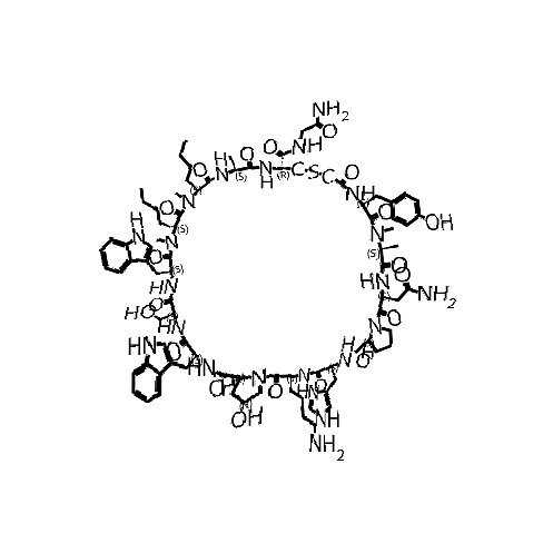 CCCC[C@H]1C(=O)N(C)[C@@H](CCCC)C(=O)N[C@@H](C)C(=O)N[C@H](C(=O)NCC(N)=O)CSCC(=O)N[C@@H](Cc2ccc(O)cc2)C(=O)N(C)[C@@H](C)C(=O)N[C@@H](CC(N)=O)C(=O)N2CCC[C@H]2C(=O)N[C@@H](Cc2c[nH]cn2)C(=O)N[C@@H](CCCCN)C(=O)N2C[C@H](O)C[C@H]2C(=O)N[C@@H](Cc2c[nH]c3ccccc23)C(=O)N[C@@H](CO)C(=O)N[C@@H](Cc2c[nH]c3ccccc23)C(=O)N1C